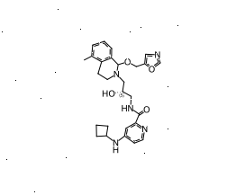 Cc1cccc2c1CCN(C[C@@H](O)CNC(=O)c1cc(NC3CCC3)ccn1)C2OCc1cnco1